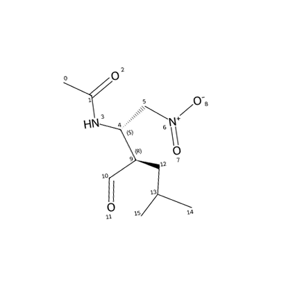 CC(=O)N[C@H](C[N+](=O)[O-])[C@H](C=O)CC(C)C